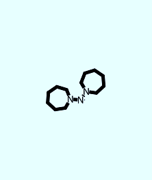 C1CCCN([N]N2CCCCCC2)CC1